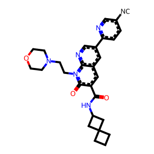 [C-]#[N+]c1ccc(-c2cnc3c(c2)cc(C(=O)NC2CC4(CCC4)C2)c(=O)n3CCN2CCOCC2)nc1